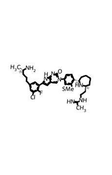 CSc1cc(-n2cc3cc(-c4cc(CCC[C@H](C)N)cc(Cl)c4F)[nH]c3nc2=O)ccc1[C@@H]1CCCC[C@@H](CCNC(C)=N)N1